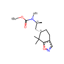 CCCN(C(=O)OC(C)(C)C)[C@@H](C)C[C@@H]1CCc2cnoc2C1(C)C